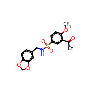 CCC(=O)c1cc(S(=O)(=O)NCc2ccc3c(c2)OCO3)ccc1OC(F)(F)F